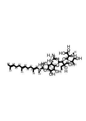 CCC(O)(CO)C(OC(OC(C)CO)C(NC)C(O)O)C1N=C(N)NC2C(O)C(OC(=N)N(C)/C=C(\C)CC/C=C(\C)CCC=C(C)C)C(O)C(O)C2O1